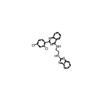 Clc1ccc(-c2nc(NCCNc3nc4ccccc4s3)c3ccccc3n2)c(Cl)c1